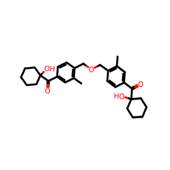 Cc1cc(C(=O)C2(O)CCCCC2)ccc1COCc1ccc(C(=O)C2(O)CCCCC2)cc1C